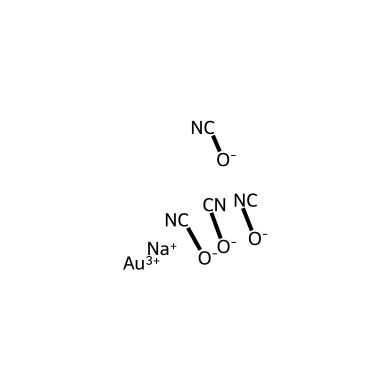 N#C[O-].N#C[O-].N#C[O-].N#C[O-].[Au+3].[Na+]